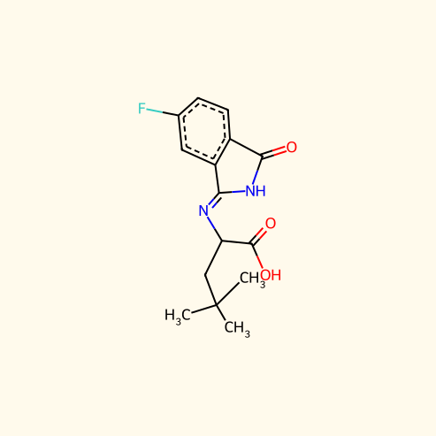 CC(C)(C)CC(/N=C1\NC(=O)c2ccc(F)cc21)C(=O)O